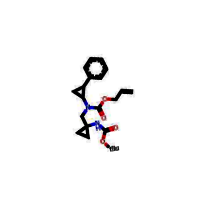 C=CCOC(=O)N(CC1(NC(=O)OC(C)(C)C)CC1)C1CC1c1ccccc1